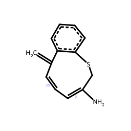 C=C1/C=C\C=C(\N)CSc2ccccc21